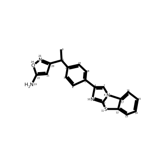 CC(c1ccc(-c2cn3c(n2)sc2ccccc23)cc1)c1cc(N)on1